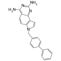 Nc1nc(N)c2ccc3c(ccn3Cc3ccc(-c4ccccc4)cc3)c2n1